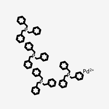 [Pd+2].c1ccc(CP(Cc2ccccc2)Cc2ccccc2)cc1.c1ccc(CP(Cc2ccccc2)Cc2ccccc2)cc1.c1ccc(CP(Cc2ccccc2)Cc2ccccc2)cc1.c1ccc(CP(Cc2ccccc2)Cc2ccccc2)cc1